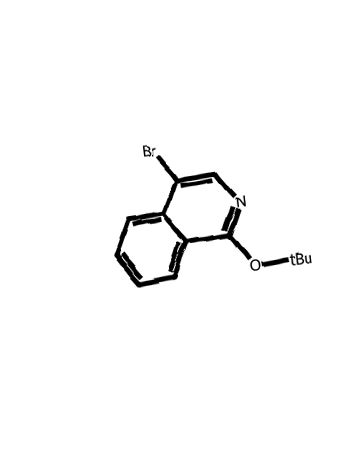 CC(C)(C)Oc1ncc(Br)c2ccccc12